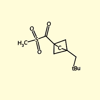 CC(C)(C)CC12CC(C(=O)S(C)(=O)=O)(C1)C2